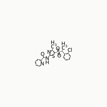 Cc1nc(NC(=O)c2ccccn2)sc1S(=O)(=O)C(C)c1ccccc1Cl